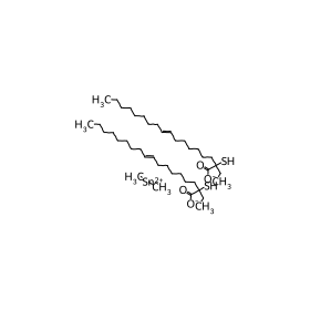 CCCCCCCCC=CCCCCCCC(S)(CC)C(=O)[O-].CCCCCCCCC=CCCCCCCC(S)(CC)C(=O)[O-].[CH3][Sn+2][CH3]